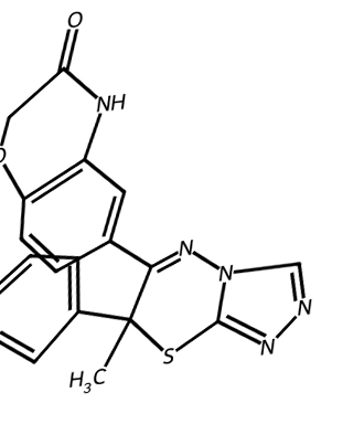 CC1(c2ccccc2)Sc2nncn2N=C1c1ccc2c(c1)NC(=O)CO2